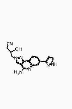 N#CCC(O)Cn1cc2c(N)nc3cc(-c4cc[nH]n4)ccc3c2n1